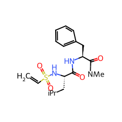 C=CS(=O)(=O)N[C@@H](CC(C)C)C(=O)N[C@@H](Cc1ccccc1)C(=O)NC